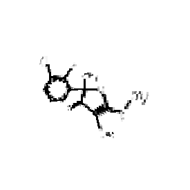 CC(=O)OC1=C(NC(=O)O)OC(C)(c2cccc(Cl)c2F)C1=O